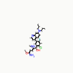 CCCN(CCC)c1ccc2c(-c3cc([C@H](O)/C(=C/C=C(\N)OC)NC)c(Cl)cc3F)ccnc2c1